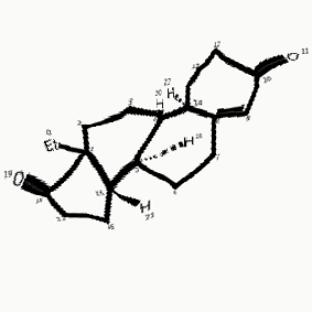 CCC12CC[C@H]3[C@@H](CCC4=CC(=O)CC[C@@H]43)[C@@H]1CCC2=O